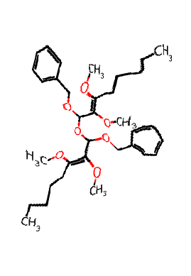 CCCCCC(OC)=C(OC)C(OCc1ccccc1)OC(OCc1ccccc1)C(OC)=C(CCCCC)OC